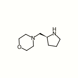 C1CN[C@H](CN2CCOCC2)C1